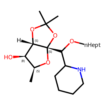 CCCCCCCOC(C1CCCCN1)[C@@]12O[C@@H](C)[C@@H](O)[C@@H]1OC(C)(C)O2